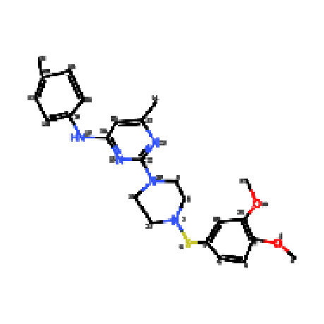 COc1ccc(SN2CCN(c3nc(C)cc(Nc4ccc(C)cc4)n3)CC2)cc1OC